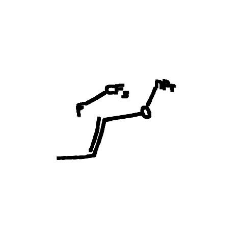 CC=COCCC.FC(F)(F)F